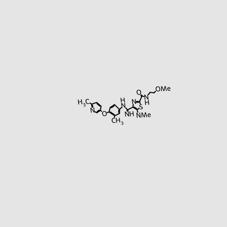 CNc1sc(C(=O)NCCOC)nc1C(=N)Nc1ccc(Oc2ccc(C)nc2)c(C)c1